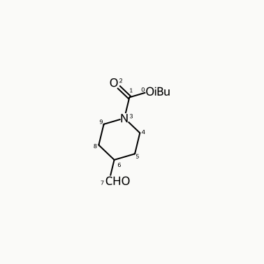 CC(C)COC(=O)N1CCC(C=O)CC1